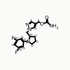 NC(=O)OCc1cnn(CC2CCCN2c2cc(F)cc(F)c2)c1